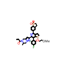 C=CC(=O)N1Cc2cc(-c3nc(-c4ccc5c(c4)CCS5(=O)=O)c4ccsc4c3-c3c(F)cc(F)cc3OCCOC)nn2CC1C